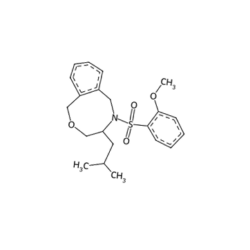 COc1ccccc1S(=O)(=O)N1Cc2ccccc2COCC1CC(C)C